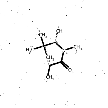 CCC(=O)N(C)[C@@H](C)C(C)(C)C